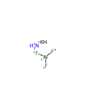 N.[F][Al]([F])[F].[KH]